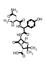 CN[C@H](CC(N)=O)C(=O)NC(C(=O)N[C@@H]1C(=O)N2[C@@H]1SC(C)(C)[C@@H]2C(=O)O)c1ccc(O)cc1